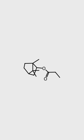 CCC(=O)OC1CC2CCC1(C)C2(C)C